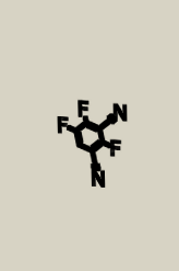 N#Cc1cc(F)c(F)c(C#N)c1F